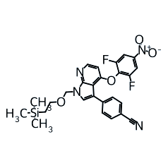 C[Si](C)(C)CCOCn1cc(-c2ccc(C#N)cc2)c2c(Oc3c(F)cc([N+](=O)[O-])cc3F)ccnc21